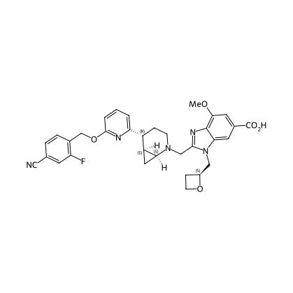 COc1cc(C(=O)O)cc2c1nc(CN1CC[C@@H](c3cccc(OCc4ccc(C#N)cc4F)n3)[C@@H]3C[C@@H]31)n2C[C@@H]1CCO1